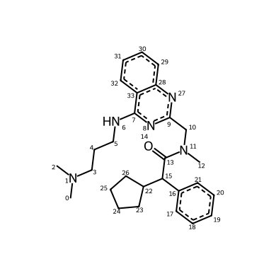 CN(C)CCCNc1nc(CN(C)C(=O)C(c2ccccc2)C2CCCC2)nc2ccccc12